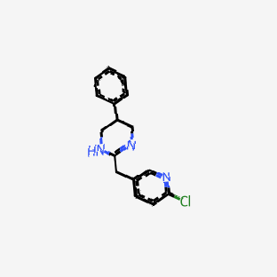 Clc1ccc(CC2=NCC(c3ccccc3)CN2)cn1